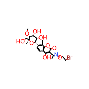 CO[C@@H]1[C@H](O)[C@@H](O)[C@H](c2ccc3c(O)c(C(C)=NOCCBr)c(=O)oc3c2C)O[C@]1(C)CO